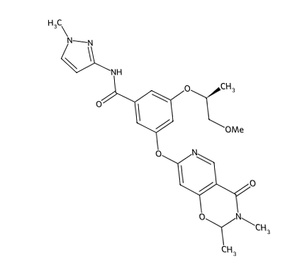 COC[C@H](C)Oc1cc(Oc2cc3c(cn2)C(=O)N(C)C(C)O3)cc(C(=O)Nc2ccn(C)n2)c1